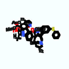 CCC1=C[C@H]2CN(C1)Cc1c([nH]c3ccc(Sc4ccccc4)cc13)[C@@](C(=O)OC)(c1cc3c(cc1OC)N(C)[C@H]1[C@@](O)(C(=O)OC)[C@H](OC(C)=O)C4C(CC)=CCN5CC[C@]31[C@H]45)C2